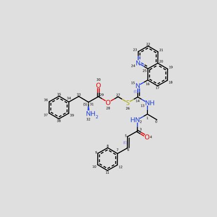 CC(NC(=O)/C=C/c1ccccc1)N/C(=N\c1cccc2cccnc12)SCOC(=O)[C@@H](N)Cc1ccccc1